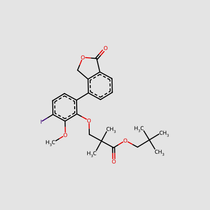 COc1c(I)ccc(-c2cccc3c2COC3=O)c1OCC(C)(C)C(=O)OCC(C)(C)C